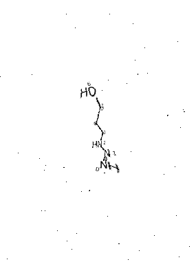 N=NNCCCO